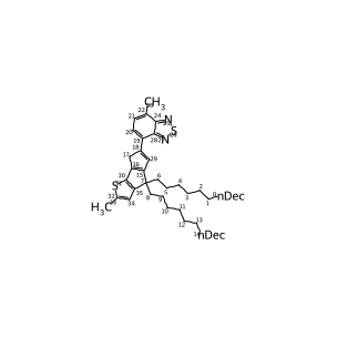 CCCCCCCCCCCCCCCCC1(CCCCCCCCCCCCCCCC)C2=C(CC(c3ccc(C)c4nsnc34)=C2)c2sc(C)cc21